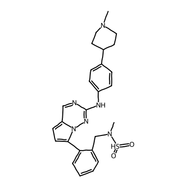 CN1CCC(c2ccc(Nc3ncc4ccc(-c5ccccc5CN(C)[SH](=O)=O)n4n3)cc2)CC1